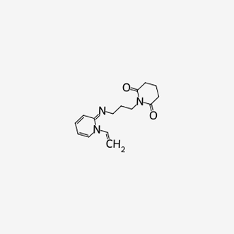 C=Cn1cccc/c1=N/CCCN1C(=O)CCCC1=O